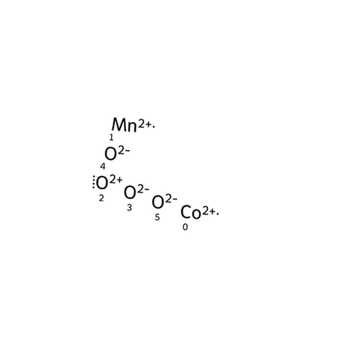 [Co+2].[Mn+2].[O+2].[O-2].[O-2].[O-2]